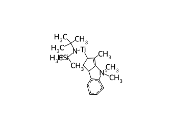 CC1=C2C(C[CH]1[Ti][N]([SiH](C)C)C(C)(C)C)c1ccccc1[N+]2(C)C